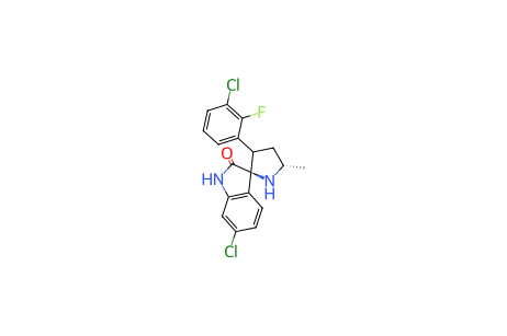 C[C@H]1CC(c2cccc(Cl)c2F)[C@@]2(N1)C(=O)Nc1cc(Cl)ccc12